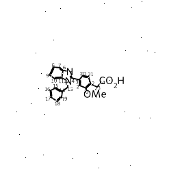 COc1cc(-c2nc3ccccc3n2Cc2ccccc2)ccc1CC(=O)O